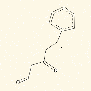 O=[C]CC(=O)CCc1ccccc1